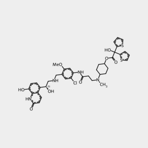 COc1cc(NC(=O)CCN(C)C2CCC(OC(=O)C(O)(c3cccs3)c3cccs3)CC2)c(Cl)cc1CNC[C@@H](O)c1ccc(O)c2[nH]c(=O)ccc12